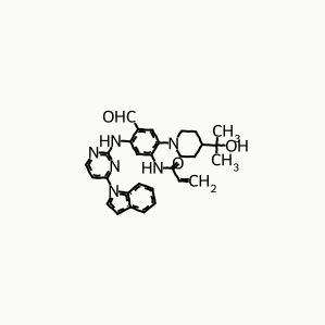 C=CC(=O)Nc1cc(Nc2nccc(-n3ccc4ccccc43)n2)c(C=O)cc1N1CCC(C(C)(C)O)CC1